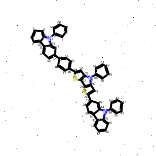 c1ccc(-n2c3ccccc3c3ccc(-c4ccc(-c5cc6c(s5)c5sc(-c7ccc8c9ccccc9n(-c9ccccc9)c8c7)cc5n6-c5ccccc5)cc4)cc32)cc1